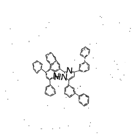 C1=C(c2cccc(-c3ccccc3)c2)NC(c2cc3ccccc3c3c(-c4ccccc4)cc(-c4ccccc4)nc23)N=C1c1cccc(-c2ccccc2)c1